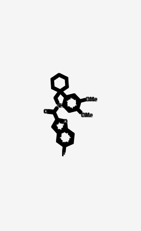 COc1ccc(C2(CNC(=O)c3cc4cc(F)ccc4o3)CCCCC2)cc1OC